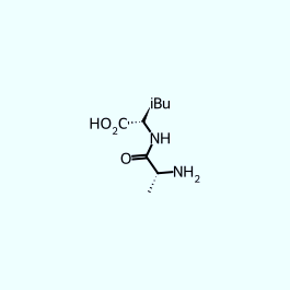 CC[C@H](C)[C@H](NC(=O)[C@@H](C)N)C(=O)O